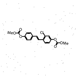 COC(=O)Oc1ccc(/C=C/c2ccc(OC(=O)OC)cc2Cl)cc1